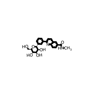 CNC(=O)c1ccc2nc(-c3cccc([C@H]4O[C@H](CO)[C@@H](O)[C@H](O)[C@@H]4O)c3)ccc2c1